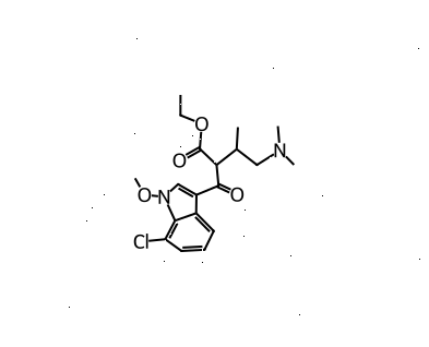 CCOC(=O)C(C(=O)c1cn(OC)c2c(Cl)cccc12)C(C)CN(C)C